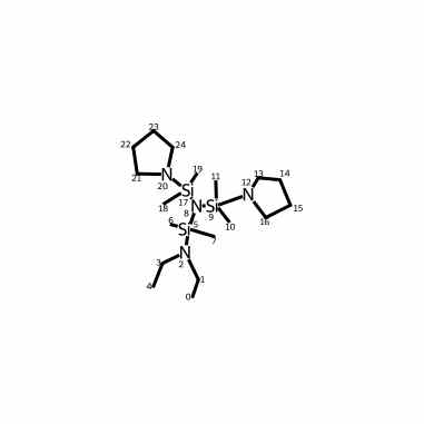 CCN(CC)[Si](C)(C)N([Si](C)(C)N1CCCC1)[Si](C)(C)N1CCCC1